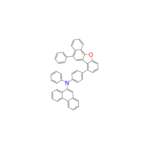 c1ccc(-c2cc3c(oc4cccc(-c5ccc(N(c6ccccc6)c6cc7ccccc7c7ccccc67)cc5)c43)c3ccccc23)cc1